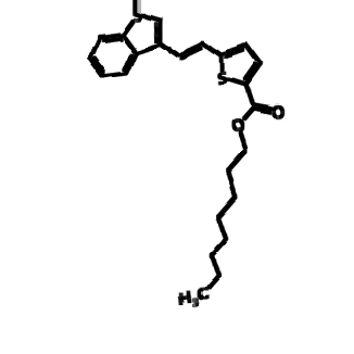 CCCCCCCCOC(=O)c1ccc(C=Cc2csc3ccccc23)s1